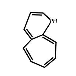 C1=CC=C2PC=CC=C2C=C1